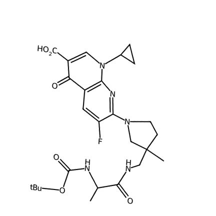 CC(NC(=O)OC(C)(C)C)C(=O)NCC1(C)CCN(c2nc3c(cc2F)c(=O)c(C(=O)O)cn3C2CC2)C1